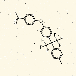 CC(=O)c1ccc(Oc2ccc(C(c3ccc(C)cc3)(C(F)(F)F)C(F)(F)F)cc2)cc1